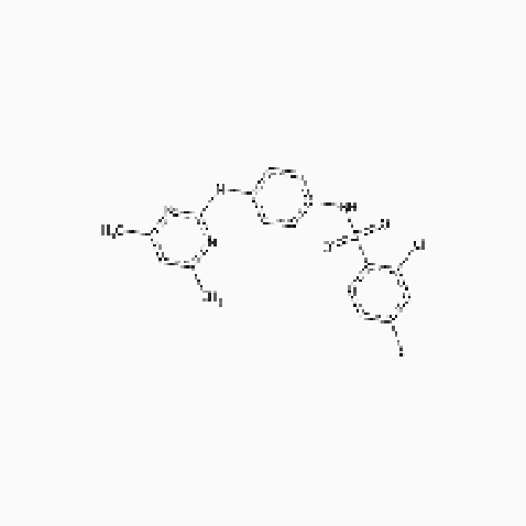 Cc1cc(C)nc(Nc2ccc(NS(=O)(=O)c3ccc(Cl)cc3Cl)cc2)n1